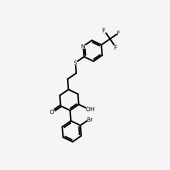 O=C1CC(CCSc2ccc(C(F)(F)F)cn2)CC(O)=C1c1ccccc1Br